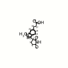 Cn1nc(C2CCC(=O)NC2=O)c2ccc(CCC(=O)O)cc21